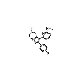 Nc1nccc(-c2c(-c3ccc(F)cc3)nn3c2CNCC3)n1